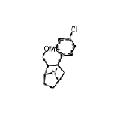 COCC1C(c2ccc(Cl)cc2)CC2CCC1N2C